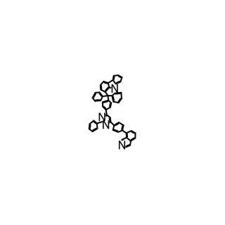 c1ccc(-c2nc(-c3ccc(-c4cccc5ccncc45)cc3)cc(-c3ccc(C4(c5ccccc5)c5ccccc5-n5c6ccccc6c6cccc4c65)cc3)n2)cc1